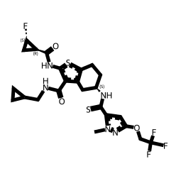 Cn1nc(OCC(F)(F)F)cc1C(=S)N[C@H]1CCc2sc(NC(=O)[C@H]3C[C@@H]3F)c(C(=O)NCC3CC3)c2C1